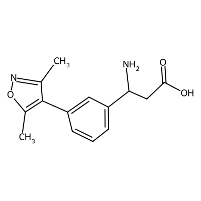 Cc1noc(C)c1-c1cccc(C(N)CC(=O)O)c1